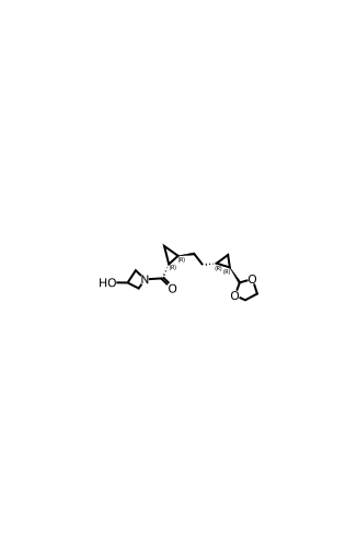 O=C([C@@H]1C[C@H]1CC[C@@H]1C[C@H]1C1OCCO1)N1CC(O)C1